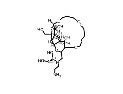 NCCN(CC1O[C@@H]2C3C(CO)O[C@H](CCCCCCCCCCCC1[C@H](O)[C@H]2O)[C@H](O)[C@H]3O)/[N+](O)=N/O